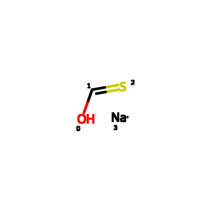 OC=S.[Na]